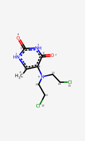 Cc1[nH]c(=O)[nH]c(=O)c1N(CCCl)CCCl